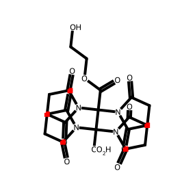 O=C1CCC(=O)N1C(C(=O)O)(N1C(=O)CCC1=O)C(C(=O)OCCO)(N1C(=O)CCC1=O)N1C(=O)CCC1=O